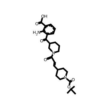 CC(C)(C)OC(=O)N1CCC(C=CC(=O)N2CCCC(C(=O)c3cccc(C(=O)O)c3N)C2)CC1